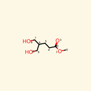 COC(=O)CCC(CO)CO